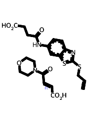 C=CCSc1nc2ccc(NC(=O)CCC(=O)O)cc2s1.O=C(O)/C=C/C(=O)N1CCOCC1